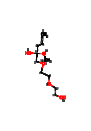 C=CCC(O)(COCCOCCO)OC